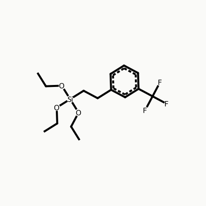 CCO[Si](CCc1cccc(C(F)(F)F)c1)(OCC)OCC